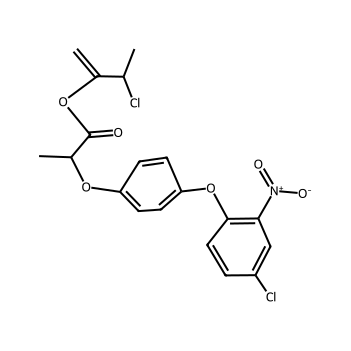 C=C(OC(=O)C(C)Oc1ccc(Oc2ccc(Cl)cc2[N+](=O)[O-])cc1)C(C)Cl